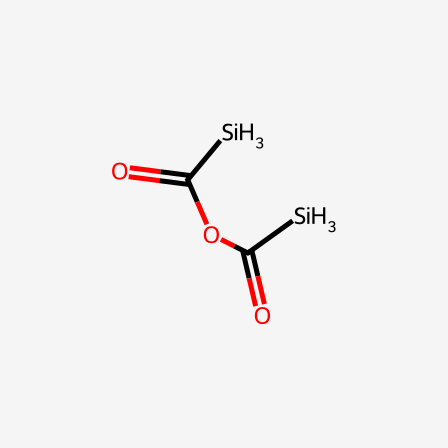 O=C([SiH3])OC(=O)[SiH3]